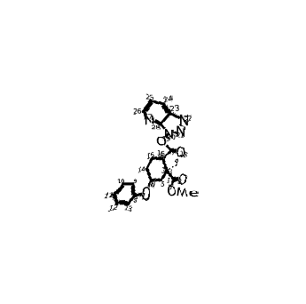 COC(=O)[C@@]1(C)C[C@@H](Oc2ccccc2)CC[C@H]1C(=O)On1nnc2cccnc21